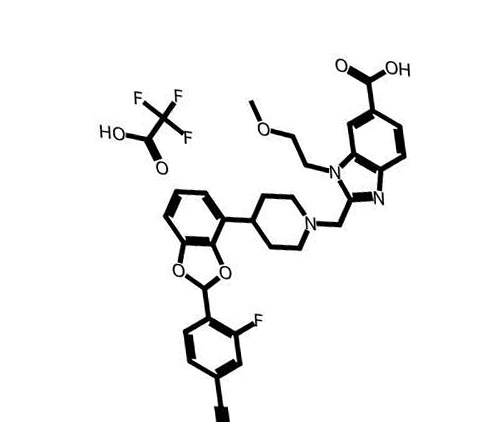 COCCn1c(CN2CCC(c3cccc4c3OC(c3ccc(C#N)cc3F)O4)CC2)nc2ccc(C(=O)O)cc21.O=C(O)C(F)(F)F